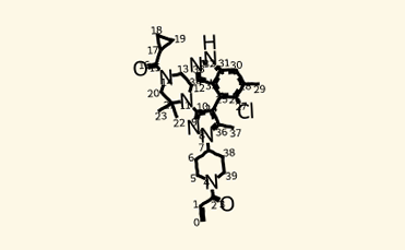 C=CC(=O)N1CCC(n2nc(N3CCN(C(=O)C4CC4)CC3(C)C)c(-c3c(Cl)c(C)cc4[nH]ncc34)c2C)CC1